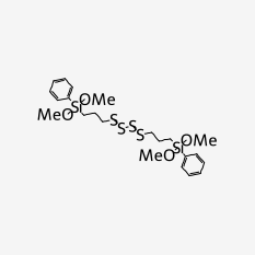 CO[Si](CCCSSSSCCC[Si](OC)(OC)c1ccccc1)(OC)c1ccccc1